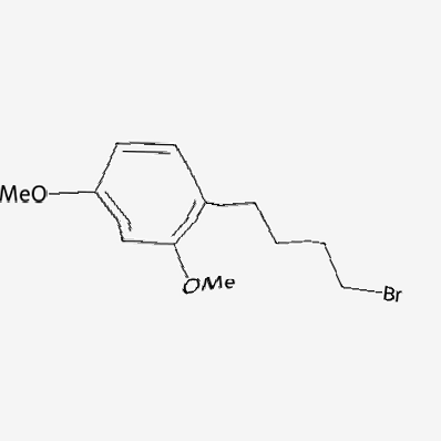 COc1ccc(CCCCBr)c(OC)c1